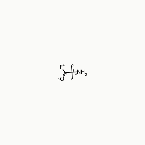 CC(C)(N)C(=O)F